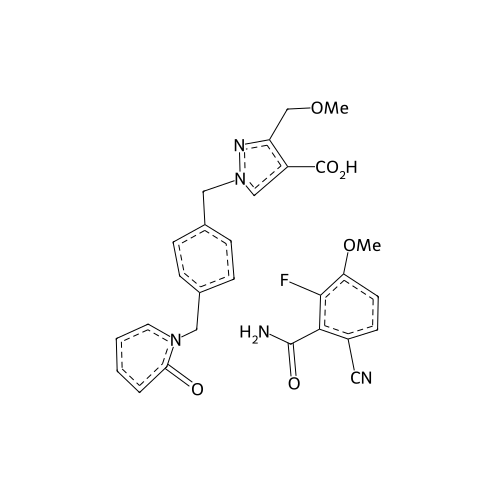 COCc1nn(Cc2ccc(Cn3ccccc3=O)cc2)cc1C(=O)O.COc1ccc(C#N)c(C(N)=O)c1F